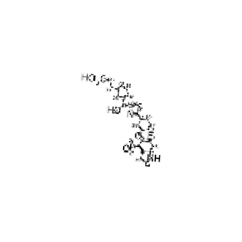 CP(C)(=O)c1c(Oc2cccc(-c3nc(C(O)c4cccc(CCC(=O)O)c4)cs3)c2)c(F)cc2[nH]ccc12